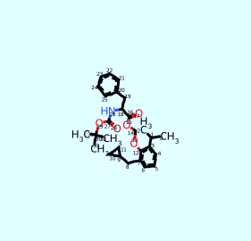 CC(C)c1cccc(CC2CC2)c1OCOC(=O)C(Cc1ccccc1)NC(=O)OC(C)(C)C